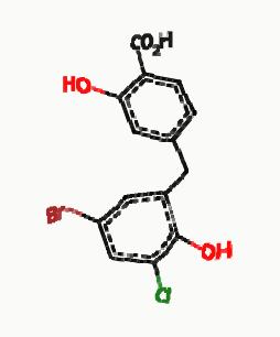 O=C(O)c1ccc(Cc2cc(Br)cc(Cl)c2O)cc1O